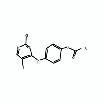 CC(=O)Oc1ccc(Nc2nc(Cl)ncc2F)cc1